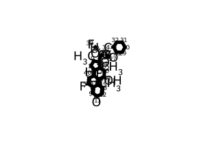 C[C@@H]1C[C@H]2[C@@H]3C[C@H](F)C4=CC(=O)C=C[C@]4(C)C3(F)[C@@H](O)C[C@]2(C)[C@]1(OC(=O)O[C@@H]1CCCC[C@@H]1C)C(=O)OCF